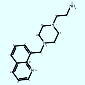 NCCN1CCN(Cc2cccc3cccnc23)CC1